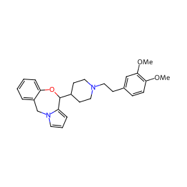 COc1ccc(CCN2CCC(C3Oc4ccccc4Cn4cccc43)CC2)cc1OC